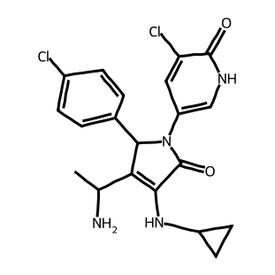 CC(N)C1=C(NC2CC2)C(=O)N(c2c[nH]c(=O)c(Cl)c2)C1c1ccc(Cl)cc1